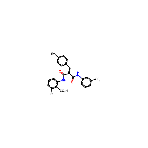 CCc1cccc(NC(=O)/C(=C\c2ccc(C(C)C)cc2)C(=O)Nc2cccc(C(F)(F)F)c2)c1C(=O)O